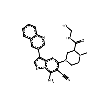 CN1CCN(c2nc3c(-c4cnc5ccccc5c4)cnn3c(N)c2C#N)CC1C(=O)NCO